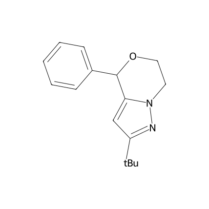 CC(C)(C)c1cc2n(n1)CCOC2c1ccccc1